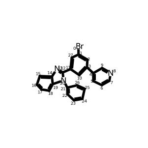 Brc1cc(-c2cccnc2)cc(-c2nc3ccccc3n2-c2ccccc2)c1